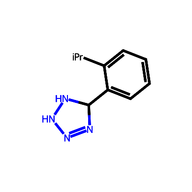 CC(C)c1ccccc1C1N=NNN1